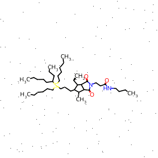 C=CC1C(CCCS(CCCCCC)(CCCCCC)C(CCC)CCCCC)C(C)C2C(=O)N(CCC(=O)NCCCC)C(=O)C12